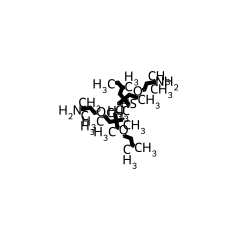 CCC(C)CC(CC)(COCC(CC)(CC(C)(C)OCCC(C)(C)N)C(C)OCCC(C)C)CC(C)(S)OCCC(C)(C)N